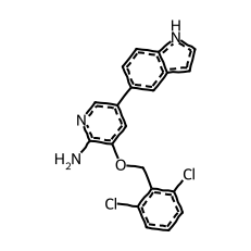 Nc1ncc(-c2ccc3[nH]ccc3c2)cc1OCc1c(Cl)cccc1Cl